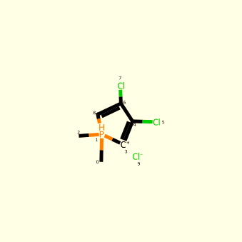 C[PH]1(C)[C+]=C(Cl)C(Cl)=C1.[Cl-]